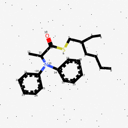 CCCCC(CC)CSC(=O)C(C)N(c1ccccc1)c1ccccc1